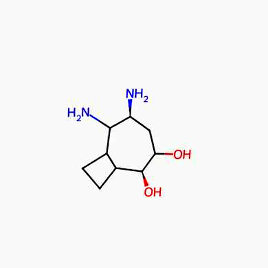 NC1C2CCC2[C@H](O)C(O)C[C@@H]1N